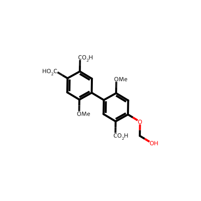 COc1cc(OCO)c(C(=O)O)cc1-c1cc(C(=O)O)c(C(=O)O)cc1OC